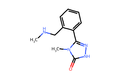 CNCc1ccccc1-c1n[nH]c(=O)n1C